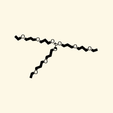 CCOCCCOCCCOP(OCCCOCCCOCC)OCCCOCCCOCC